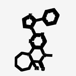 CCC12CCCCCN1c1nc(-n3ccnc3-c3ccccc3)ncc1N(C)C2=O